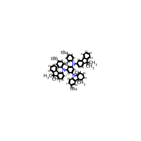 CC(C)(C)c1ccc2c(c1)B1c3cc(C(C)(C)C)ccc3N(c3cccc4c3-c3ccccc3C4(C)C)c3cc(N4c5ccc(C(C)(C)C)cc5C5(C)CCCCC45C)cc(c31)N2c1ccc2c(c1)-c1ccccc1C2(C)C